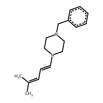 CC(C)=C/C=C/N1CCN(Cc2ccccc2)CC1